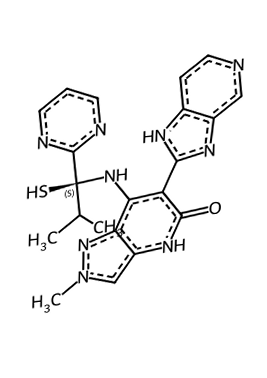 CC(C)[C@@](S)(Nc1c(-c2nc3cnccc3[nH]2)c(=O)[nH]c2cn(C)nc12)c1ncccn1